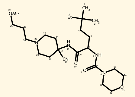 CCC(C)(C)CCC(NC(=O)N1CCOCC1)C(=O)NC1(C#N)CCN(CCCOC)CC1